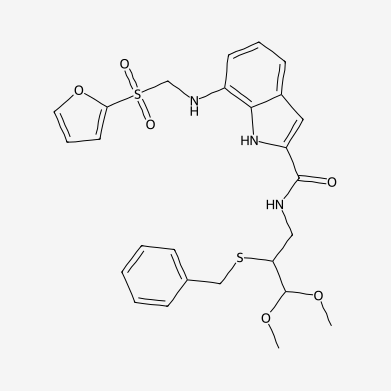 COC(OC)C(CNC(=O)c1cc2cccc(NCS(=O)(=O)c3ccco3)c2[nH]1)SCc1ccccc1